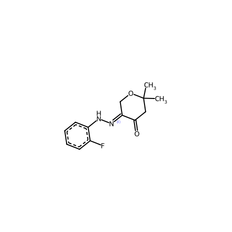 CC1(C)CC(=O)/C(=N/Nc2ccccc2F)CO1